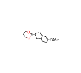 COc1ccc2cc(B3OCCCO3)ccc2c1